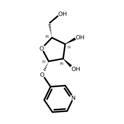 OC[C@H]1O[C@@H](Oc2cccnc2)[C@H](O)[C@@H]1O